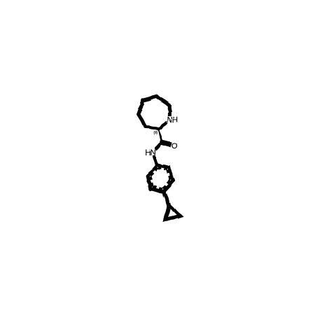 O=C(Nc1ccc(C2CC2)cc1)[C@H]1CCCCCN1